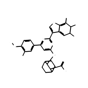 COc1ccc(-c2cc(NC3C4CCC(CC4)C3C(=O)O)nc(-c3c[nH]c4c3=CC(F)C(C)C=4F)n2)cc1F